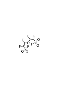 O=S(=O)(F)C(F)=C(F)OC(F)=C(F)S(=O)(=O)F